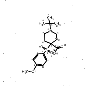 COc1ccc(S(=O)(=O)C2(C(=O)O)CCN(C(C)(C)C)CC2)cc1